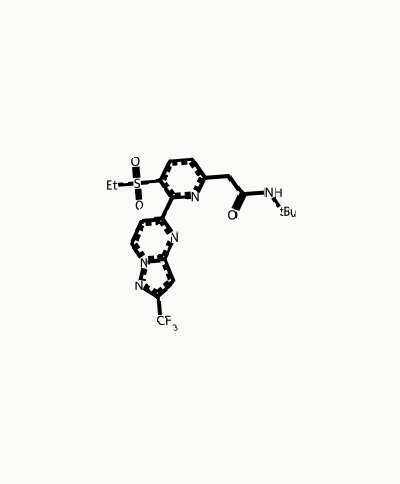 CCS(=O)(=O)c1ccc(CC(=O)NC(C)(C)C)nc1-c1ccn2nc(C(F)(F)F)cc2n1